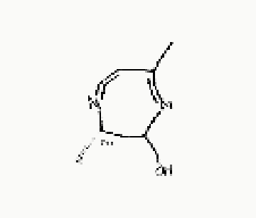 CC1=NC(O)[C@H](C)N=C1